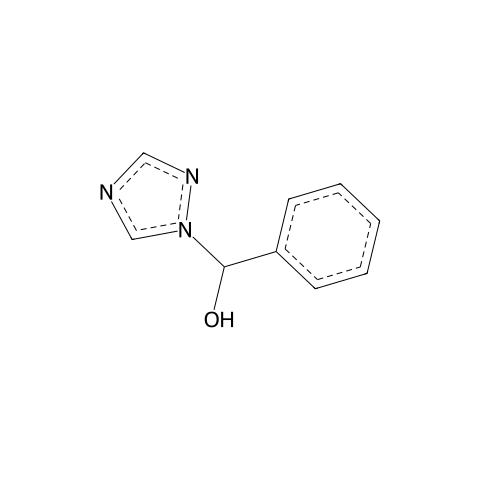 OC(c1ccccc1)n1cncn1